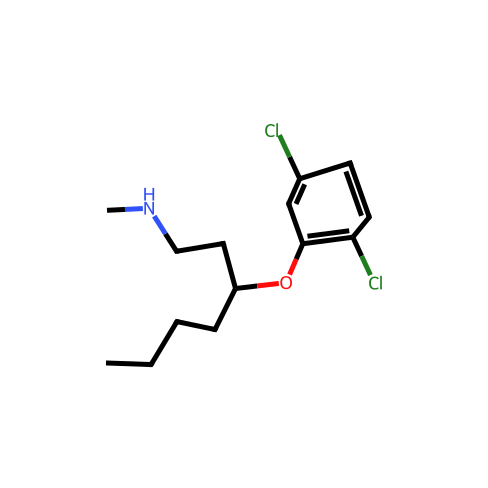 CCCCC(CCNC)Oc1cc(Cl)ccc1Cl